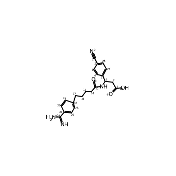 N#Cc1ccc(C(CC(=O)O)NC(=O)CCCCc2ccc(C(=N)N)cc2)cc1